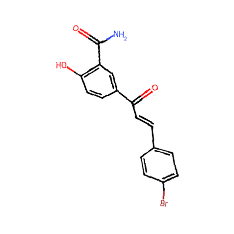 NC(=O)c1cc(C(=O)C=Cc2ccc(Br)cc2)ccc1O